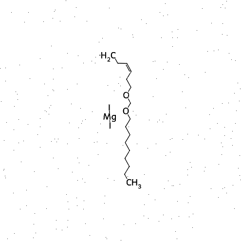 [CH2]C/C=C\CCOCOCCCCCCCCC.[I][Mg][I]